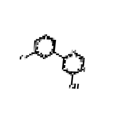 Oc1cc(-c2[c]ccc(Cl)c2)ncn1